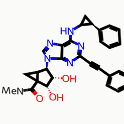 CNC(=O)C12CC1[C@@H](n1cnc3c(NC4C[C@H]4c4ccccc4)nc(C#Cc4ccccc4)nc31)[C@H](O)[C@@H]2O